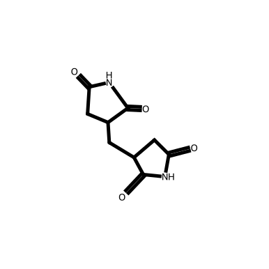 O=C1CC(CC2CC(=O)NC2=O)C(=O)N1